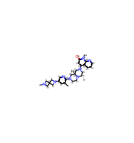 Cc1cc(N2CC3(CN(C)C3)C2)cnc1N1CCN2[C@@H](C1)CN(c1cc(=O)n(C)c3ncccc13)C[C@@H]2C